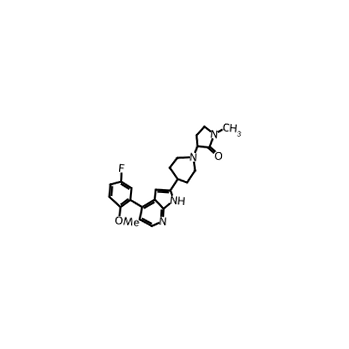 COc1ccc(F)cc1-c1ccnc2[nH]c(C3CCN(C4CCN(C)C4=O)CC3)cc12